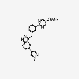 COc1cnc(-c2cccc(Cc3nnc4ncc(-c5cnn(C)c5)cn34)c2)nc1